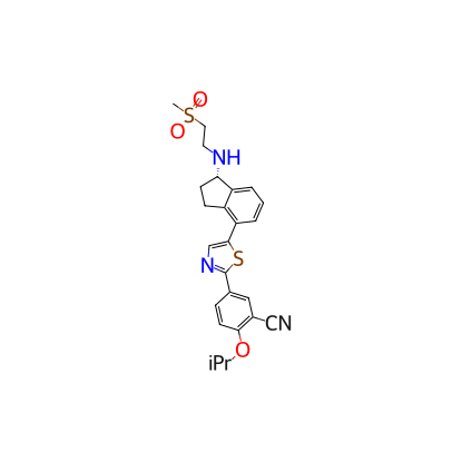 CC(C)Oc1ccc(-c2ncc(-c3cccc4c3CC[C@@H]4NCCS(C)(=O)=O)s2)cc1C#N